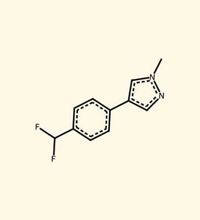 Cn1cc(-c2ccc(C(F)F)cc2)cn1